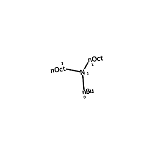 [CH2]CCCN(CCCCCCCC)CCCCCCCC